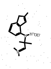 CC1=Cc2c(cccc2[N]([Ti+2])C(C)(C)C=[Si](C)C)C1.[Cl-].[Cl-]